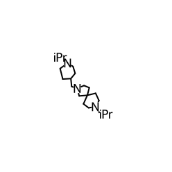 CC(C)N1CCC(CN2CCC3(CCN(C(C)C)CC3)C2)CC1